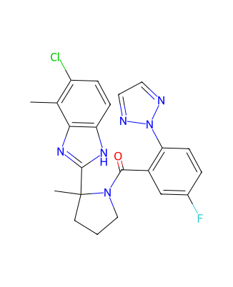 Cc1c(Cl)ccc2[nH]c(C3(C)CCCN3C(=O)c3cc(F)ccc3-n3nccn3)nc12